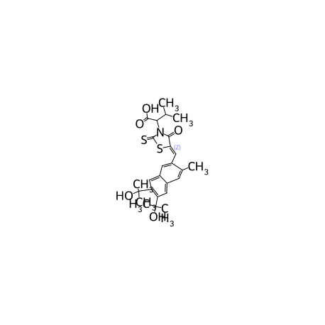 Cc1cc2cc(C(C)(C)O)c(C(C)(C)O)cc2cc1/C=C1\SC(=S)N(C(C(=O)O)C(C)C)C1=O